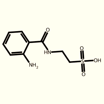 Nc1ccccc1C(=O)NCCS(=O)(=O)O